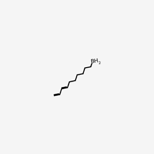 BCCCCCC/C=C/C=C